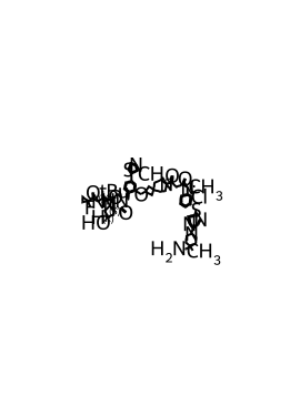 Cc1ncsc1-c1ccc(CNC(=O)[C@@H]2C[C@@H](O)CN2C(=O)[C@@H](NC(=O)C2(F)CC2)C(C)(C)C)c(OC2CC3(CCN(C(=O)CC(=O)N(C)c4cccc(Sc5cnc(N6CCC(C)(CN)CC6)cn5)c4Cl)CC3)C2)c1